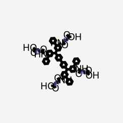 O=C(O)/C=C/C(=O)Nc1ccc(C(c2ccc(-c3ccc(C(c4ccc(NC(=O)/C=C/C(=O)O)c(-c5ccccc5)c4)c4ccc(NC(=O)/C=C/C(=O)O)c(-c5ccccc5)c4)cc3)cc2)c2ccc(NC(=O)/C=C/C(=O)O)c(-c3ccccc3)c2)cc1-c1ccccc1